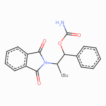 CC(C)(C)C(C(OC(N)=O)c1ccccc1)N1C(=O)c2ccccc2C1=O